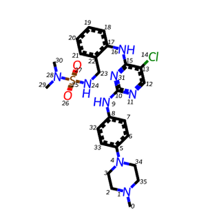 CN1CCN(c2ccc(Nc3ncc(Cl)c(Nc4ccccc4CNS(=O)(=O)N(C)C)n3)cc2)CC1